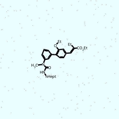 CCCCCCCNC(=O)N(C)c1cccc(-c2ccc(/C=C(\CC)C(=O)OCC)cc2OCC)c1